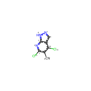 N#Cc1c(Cl)nc2[nH]ncc2c1Cl